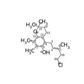 C/C(=C\Cc1c(O)c(C)c(C)c2c1CCC(C)(C)O2)CCCl